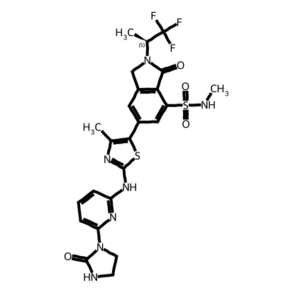 CNS(=O)(=O)c1cc(-c2sc(Nc3cccc(N4CCNC4=O)n3)nc2C)cc2c1C(=O)N([C@@H](C)C(F)(F)F)C2